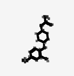 NC(=O)O[C@H]1CC[C@H](Oc2ccc(N)cc2Br)CC1